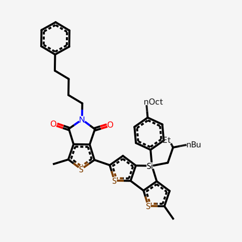 CCCCCCCCc1ccc([Si]2(CC(CC)CCCC)c3cc(C)sc3-c3sc(-c4sc(C)c5c4C(=O)N(CCCCc4ccccc4)C5=O)cc32)cc1